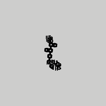 COC(=O)N[C@H](C(=O)N1C2CC2C[C@H]1c1ncc(-c2ccc(-c3ccc(-c4ccc(OS(=O)(=O)C(F)(F)F)c5c4C4CCC5C4)c4c3C3CCC4C3)cc2)[nH]1)C(C)C